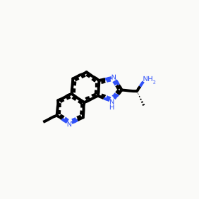 Cc1cc2ccc3nc([C@@H](C)N)[nH]c3c2cn1